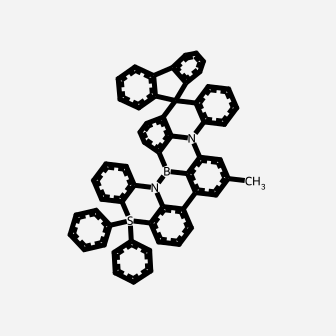 Cc1cc2c3c(c1)N1c4ccccc4C4(c5ccccc5-c5ccccc54)c4cccc(c41)B3N1c3ccccc3S(c3ccccc3)(c3ccccc3)c3cccc-2c31